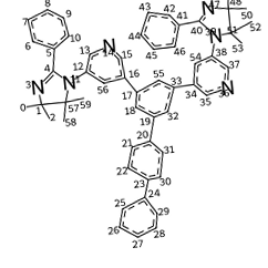 CC1(C)N=C(c2ccccc2)N(c2cncc(-c3cc(-c4ccc(-c5ccccc5)cc4)cc(-c4cncc(N5C(c6ccccc6)=NC(C)(C)C5(C)C)c4)c3)c2)C1(C)C